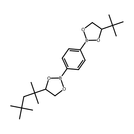 CC(C)(C)CC(C)(C)C1COB(c2ccc(B3OCC(C(C)(C)C)O3)cc2)O1